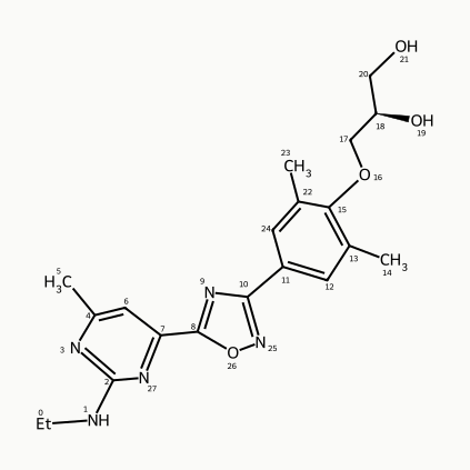 CCNc1nc(C)cc(-c2nc(-c3cc(C)c(OC[C@H](O)CO)c(C)c3)no2)n1